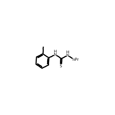 CCCNC(=S)Nc1ccccc1C